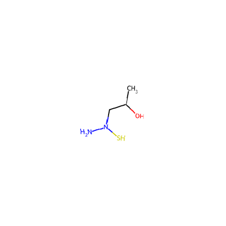 CC(O)CN(N)S